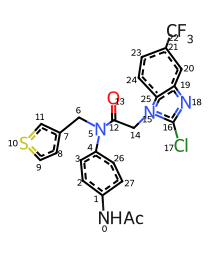 CC(=O)Nc1ccc(N(Cc2ccsc2)C(=O)Cn2c(Cl)nc3cc(C(F)(F)F)ccc32)cc1